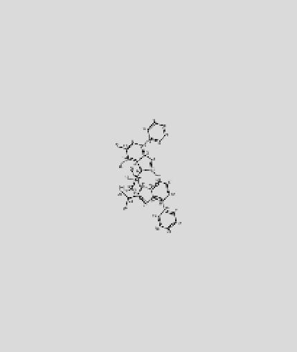 CC1=Cc2c(-c3ccccc3)cc(C)c(C)c2[CH]1[Zr]([CH3])([CH3])(=[SiH2])[CH]1C(C(C)C)=Cc2c(-c3ccccc3)cccc21